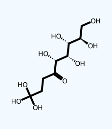 O=C(CCC(O)(O)O)[C@H](O)[C@@H](O)[C@H](O)[C@H](O)CO